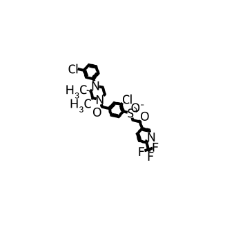 C[C@H]1[C@H](C)N(c2cccc(Cl)c2)CCN1C(=O)c1ccc([S+]([O-])CC(=O)c2ccc(C(F)(F)F)nc2)c(Cl)c1